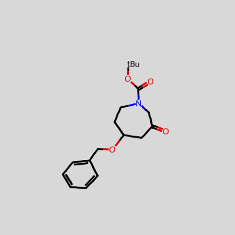 CC(C)(C)OC(=O)N1CCC(OCc2ccccc2)CC(=O)C1